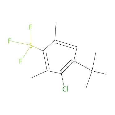 Cc1cc(C(C)(C)C)c(Cl)c(C)c1S(F)(F)F